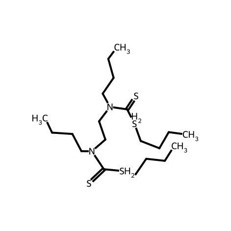 CCCC[SH2]C(=S)N(CCCC)CCN(CCCC)C(=S)[SH2]CCCC